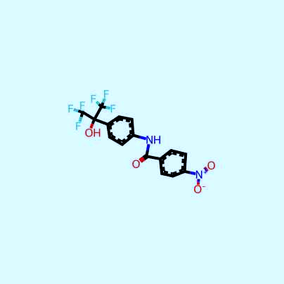 O=C(Nc1ccc(C(O)(C(F)(F)F)C(F)(F)F)cc1)c1ccc([N+](=O)[O-])cc1